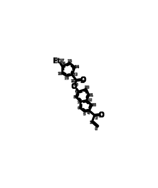 C=CC(=O)c1ccc2cc(OC(=O)c3ccc(CC)cc3)ccc2c1